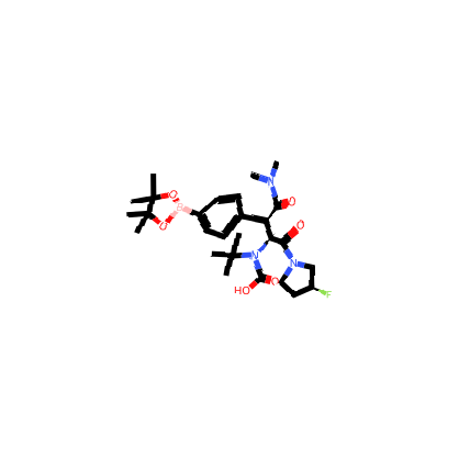 CN(C)C(=O)[C@H](c1ccc(B2OC(C)(C)C(C)(C)O2)cc1)[C@@H](C(=O)N1CC[C@H](F)C1)N(C(=O)O)C(C)(C)C